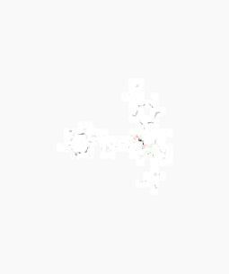 COc1ccc2c(c1)[C@]13CCN(CC4CC4)[C@H](C2)C1OCC(NCc1ccccc1)C3